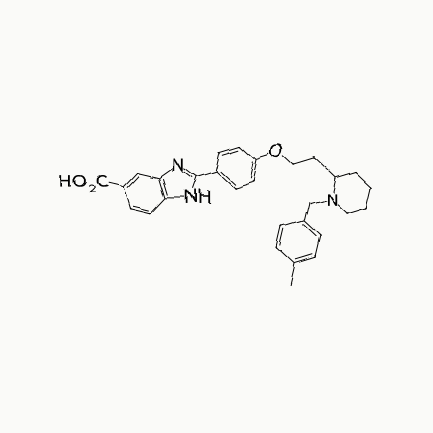 Cc1ccc(CN2CCCCC2CCOc2ccc(-c3nc4cc(C(=O)O)ccc4[nH]3)cc2)cc1